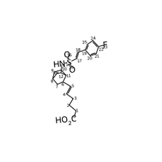 O=C(O)CCC/C=C/C1CC2CCC1C(NS(=O)(=O)/C=C/c1ccc(F)cc1)C2